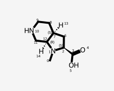 CN1[C@H](C(=O)O)C[C@@H]2CCNC[C@@H]21